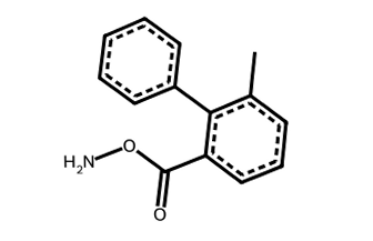 Cc1cccc(C(=O)ON)c1-c1ccccc1